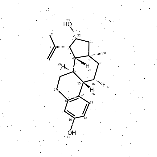 C=C(C)[C@H]1[C@H]2[C@@H]3CCc4cc(O)ccc4[C@H]3[C@@H](F)C[C@]2(C)C[C@H]1O